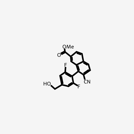 COC(=O)c1ccc2ccc(C#N)c(-c3c(F)cc(CO)cc3F)c2c1